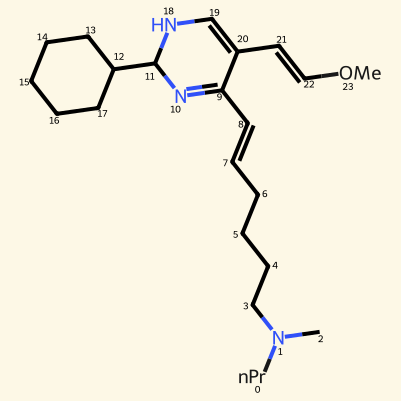 CCCN(C)CCCC/C=C/C1=NC(C2CCCCC2)NC=C1/C=C/OC